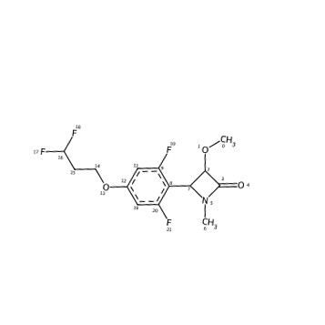 COC1C(=O)N(C)C1c1c(F)cc(OCCC(F)F)cc1F